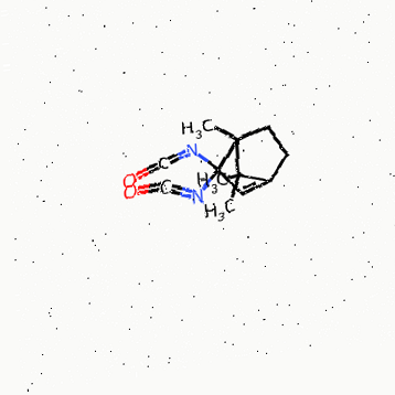 CC1(C)C2=CC(N=C=O)(N=C=O)C1(C)CC2